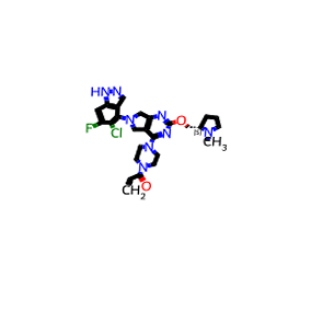 C=CC(=O)N1CCN(c2nc(OC[C@@H]3CCCN3C)nc3c2CN(c2c(Cl)c(F)cc4[nH]ncc24)C3)CC1